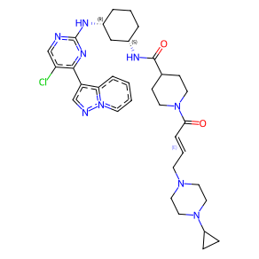 O=C(N[C@H]1CCC[C@@H](Nc2ncc(Cl)c(-c3cnn4ccccc34)n2)C1)C1CCN(C(=O)/C=C/CN2CCN(C3CC3)CC2)CC1